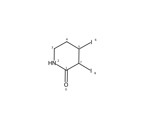 O=C1NCCC(I)C1I